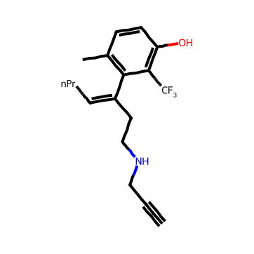 C#CCNCC/C(=C/CCC)c1c(C)ccc(O)c1C(F)(F)F